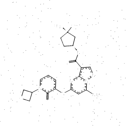 CNc1cc(Nc2cccn(C3COC3)c2=O)nc2c(C(=O)N[C@H]3CC[C@](C)(O)C3)cnn12